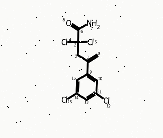 C=C(CC(Cl)(Cl)C(N)=O)c1cc(Cl)cc(Cl)c1